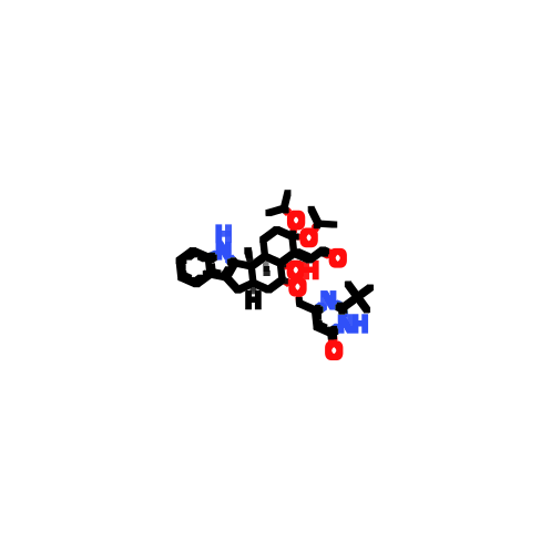 CC(C)OC1(OC(C)C)CC[C@]2(C)[C@@]3(C)c4[nH]c5ccccc5c4C[C@@H]3C[C@H](OCc3cc(=O)[nH]c(C(C)(C)C)n3)[C@@]2(O)/C1=C/C=O